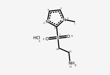 Cl.Cn1ccnc1S(=O)(=O)CCN